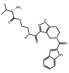 CC(C)[C@H](N)C(=O)OCCN(C)C(=O)c1n[nH]c2c1CN(C(=O)c1cc3ccccc3[nH]1)CC2